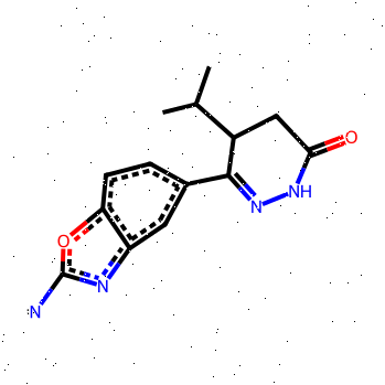 CC(C)C1CC(=O)NN=C1c1ccc2oc([N])nc2c1